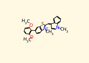 COc1cccc(OC)c1-c1ccc2c(c1)sc(C=C1C=CN(C)c3ccccc31)[n+]2C